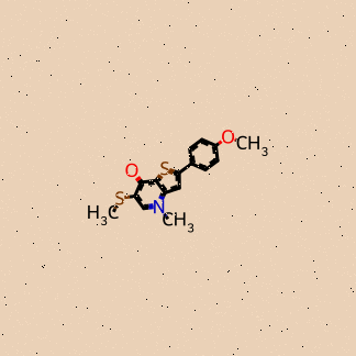 COc1ccc(-c2cc3c(s2)c(=O)c(SC)cn3C)cc1